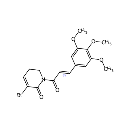 COc1cc(/C=C/C(=O)N2CCC=C(Br)C2=O)cc(OC)c1OC